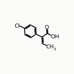 CC=C(C(=O)O)c1ccc(Cl)cc1